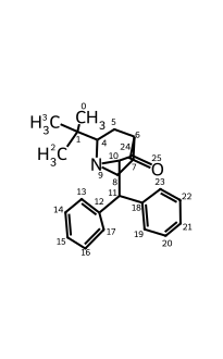 CC(C)(C)C1CC2CCN1C(C(c1ccccc1)c1ccccc1)C2=O